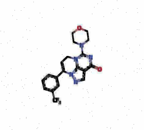 O=c1nc(N2CCOCC2)n2c3c1cnn3C(c1cccc(C(F)(F)F)c1)=CC2